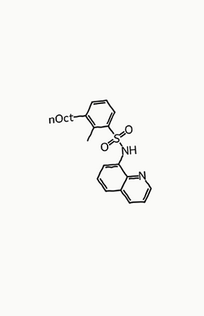 CCCCCCCCc1cccc(S(=O)(=O)Nc2cccc3cccnc23)c1C